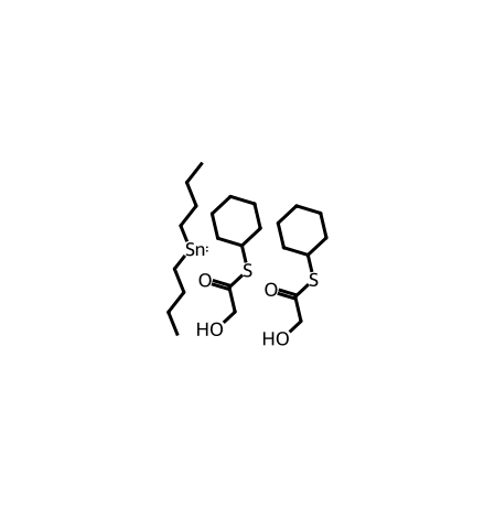 CCC[CH2][Sn][CH2]CCC.O=C(CO)SC1CCCCC1.O=C(CO)SC1CCCCC1